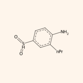 CCCc1cc([SH](=O)=O)ccc1N